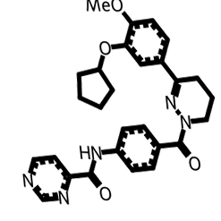 COc1ccc(C2=NN(C(=O)c3ccc(NC(=O)c4ccncn4)cc3)CCC2)cc1OC1CCCC1